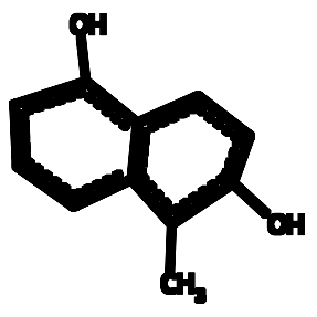 Cc1c(O)ccc2c(O)cccc12